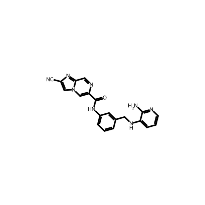 N#Cc1cn2cc(C(=O)Nc3cccc(CNc4cccnc4N)c3)ncc2n1